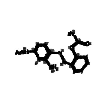 CCCC(=O)Oc1ccccc1/N=N/c1ccc(NC(C)=O)nc1N